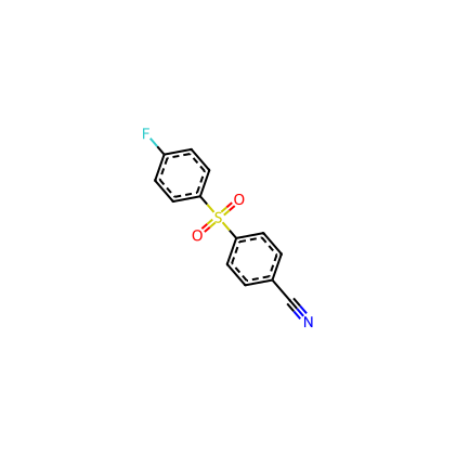 N#Cc1ccc(S(=O)(=O)c2ccc(F)cc2)cc1